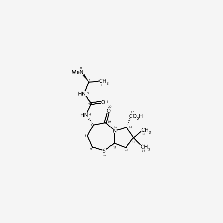 CN[C@@H](C)NC(=O)N[C@H]1CCSC2CC(C)(C)[C@@H](C(=O)O)N2C1=O